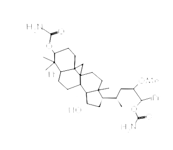 COC(C[C@@H](C)[C@H]1C[C@H](O)[C@@]2(C)C3CC[C@H]4C(C)(C)C(OC(N)=O)CCC45CC35CCC12C)C(OC(N)=O)C(C)C